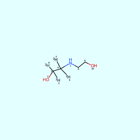 [2H]C([2H])(O)C([2H])([2H])NCCO